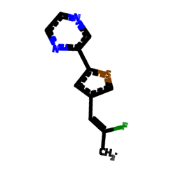 [CH2]/C(F)=C/c1csc(-c2cnccn2)c1